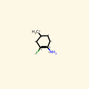 CC1CCC(N)=C(F)C1